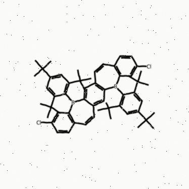 CC(C)(C)c1cc(C(C)(C)C)c(B2c3cc(Cl)ccc3C=Cc3cc4c(cc32)C=Cc2ccc(Cl)cc2B4c2c(C(C)(C)C)cc(C(C)(C)C)cc2C(C)(C)C)c(C(C)(C)C)c1